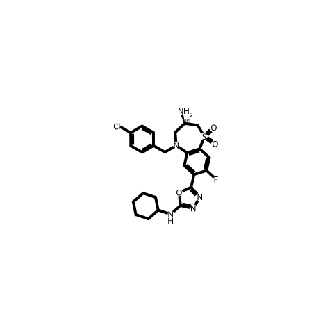 N[C@@H]1CN(Cc2ccc(Cl)cc2)c2cc(-c3nnc(NC4CCCCC4)o3)c(F)cc2S(=O)(=O)C1